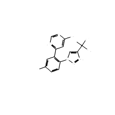 Oc1cc(-c2cc(F)ccc2-n2cc(C(F)(F)F)nn2)ncn1